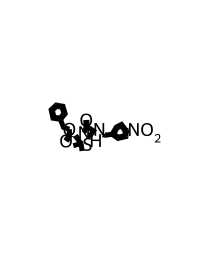 CC1(C)S[C@@H]2[C@H](N=Cc3ccc([N+](=O)[O-])cc3)C(=O)N2[C@H]1C(=O)OCc1ccccc1